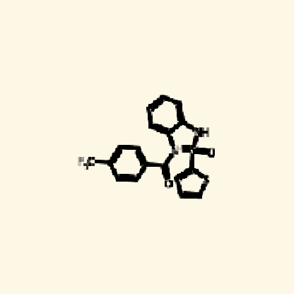 O=C(c1ccc(C(F)(F)F)cc1)[N+]1=S(=O)(c2cccs2)Nc2ccccc21